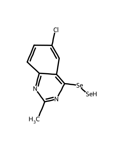 Cc1nc([Se][SeH])c2cc(Cl)ccc2n1